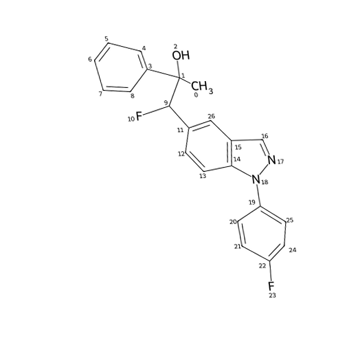 CC(O)(c1ccccc1)C(F)c1ccc2c(cnn2-c2ccc(F)cc2)c1